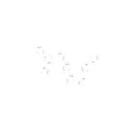 Cc1ccc(-c2ccc3c(c2)sc2c(-c4nc(-c5ccccc5)nc(-c5ccccc5)n4)cccc23)cc1-c1ccccc1C(C)c1ccc(-c2ccccc2)cc1